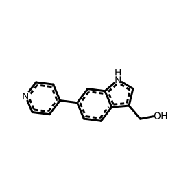 OCc1c[nH]c2cc(-c3ccncc3)ccc12